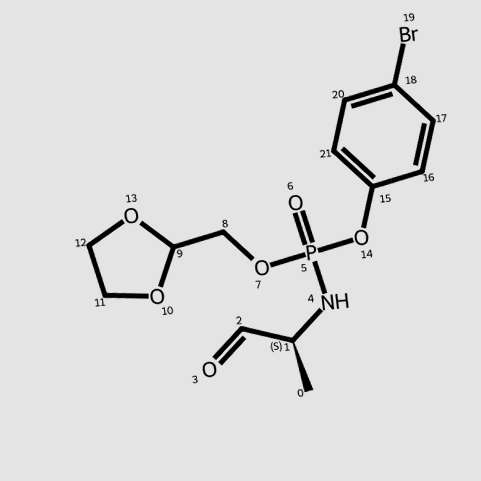 C[C@@H](C=O)NP(=O)(OCC1OCCO1)Oc1ccc(Br)cc1